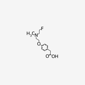 CN(CCF)CCOc1ccc(CC(=O)O)cc1